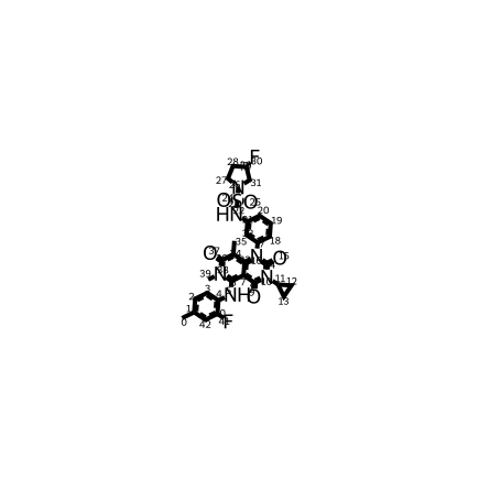 Cc1ccc(Nc2c3c(=O)n(C4CC4)c(=O)n(-c4cccc(NS(=O)(=O)N5CC[C@@H](F)C5)c4)c3c(C)c(=O)n2C)c(F)c1